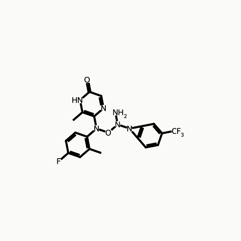 Cc1cc(F)ccc1N(ON(N)N1c2ccc(C(F)(F)F)cc21)c1ncc(=O)[nH]c1C